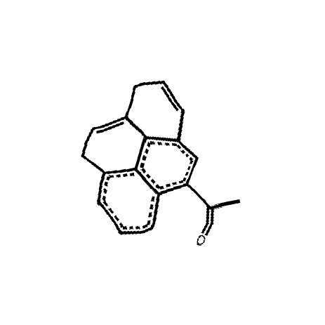 CC(=O)c1cc2c3c4c(cccc14)CC=C3CC=C2